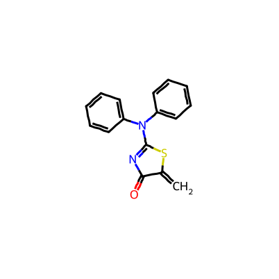 C=C1SC(N(c2ccccc2)c2ccccc2)=NC1=O